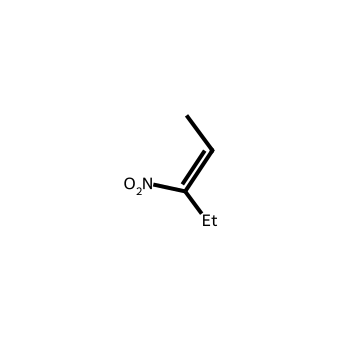 C/C=C(/CC)[N+](=O)[O-]